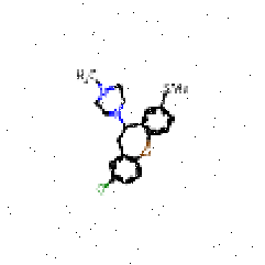 CSc1ccc2c(c1)C(N1CCN(C)CC1)Cc1cc(Cl)ccc1S2